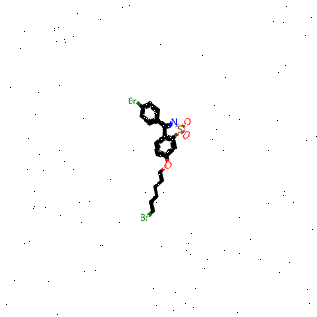 O=S1(=O)N=C(c2ccc(Br)cc2)c2ccc(OCCCCCCBr)cc21